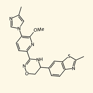 COc1nc(C2=NOCC(c3ccc4nc(C)sc4c3)N2)ccc1-n1cnc(C)c1